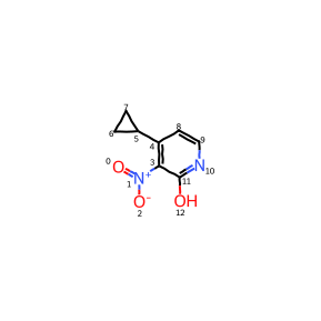 O=[N+]([O-])c1c(C2CC2)ccnc1O